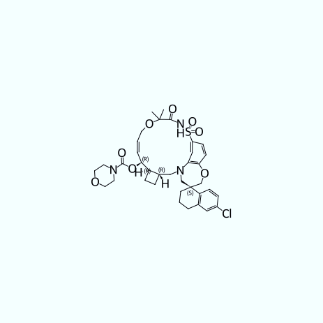 CC1(C)OCC=C[C@H](OC(=O)N2CCOCC2)[C@@H]2CC[C@H]2CN2C[C@@]3(CCCc4cc(Cl)ccc43)COc3ccc(cc32)S(=O)(=O)NC1=O